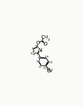 CC(=O)Oc1csc(-c2ccc(Br)cc2)n1